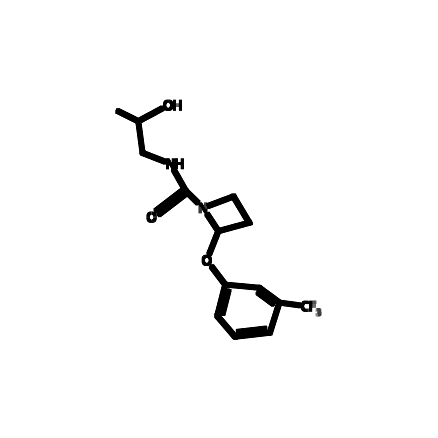 CC(O)CNC(=O)N1CCC1Oc1cccc(C(F)(F)F)c1